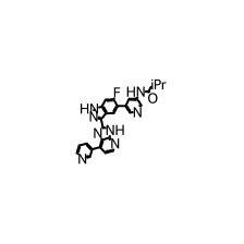 CC(C)C(=O)Nc1cncc(-c2cc3c(-c4nc5c(-c6cccnc6)ccnc5[nH]4)n[nH]c3cc2F)c1